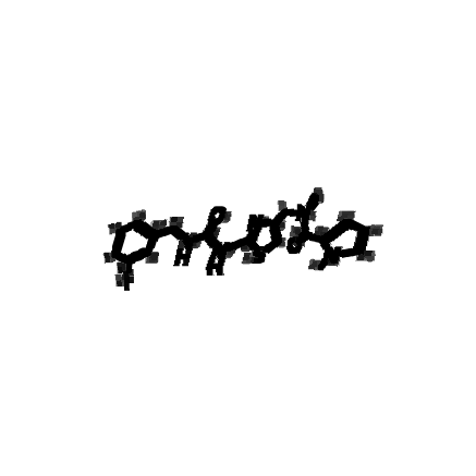 CN(Cc1csc(NC(=O)NCc2cccc(F)c2)n1)C(=O)c1cccn1C